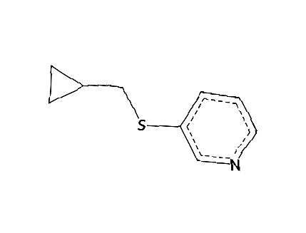 c1cncc(SCC2CC2)c1